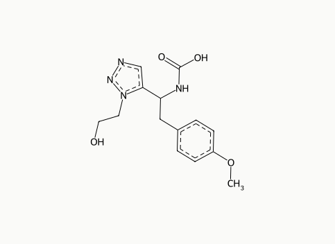 COc1ccc(CC(NC(=O)O)c2cnnn2CCO)cc1